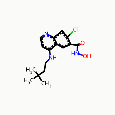 CC(C)(C)CCNc1ccnc2cc(Cl)c(C(=O)NO)cc12